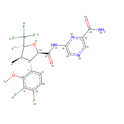 COc1c([C@@H]2[C@@H](C)[C@@](C)(C(F)(F)F)O[C@H]2C(=O)Nc2cncc(C(N)=O)n2)ccc(F)c1F